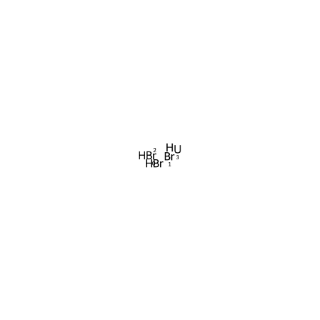 Br.Br.Br.[U]